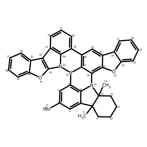 CC(C)(C)c1cc2c3c(c1)C1(C)CCCCC1(C)N3c1c3c(cc4c1oc1ccccc14)-c1cccc4c5c6ccccc6oc5n(c14)B23